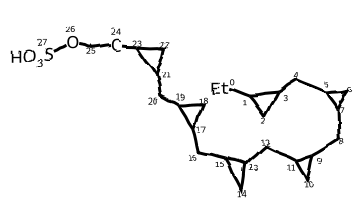 CCC1CC1CC1CC1CC1CC1CC1CC1CC1CC1CC1CC1CCOS(=O)(=O)O